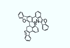 c1cc2c3c(c1)-c1c(sc4ccccc14)CC3c1c3c(cc4c1oc1ccccc14)-c1cccc4c5oc6ccccc6c5n(c14)B23